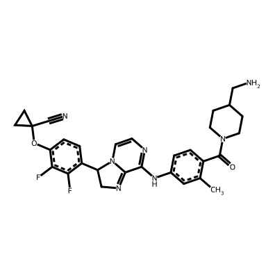 Cc1cc(NC2=NC=CN3C2=NCC3c2ccc(OC3(C#N)CC3)c(F)c2F)ccc1C(=O)N1CCC(CN)CC1